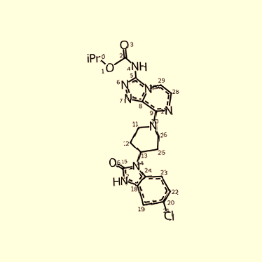 CC(C)OC(=O)Nc1nnc2c(N3CCC(n4c(=O)[nH]c5cc(Cl)ccc54)CC3)nccn12